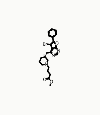 COC(=O)CCCN1CCC[C@@H](Cc2ncnc3oc(-c4ccccc4)c(Br)c23)C1